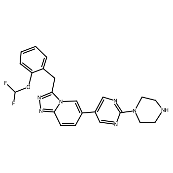 FC(F)Oc1ccccc1Cc1nnc2ccc(-c3cnc(N4CCNCC4)nc3)cn12